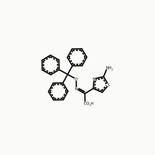 Nc1nc(/C(=N\OC(c2ccccc2)(c2ccccc2)c2ccccc2)C(=O)O)cs1